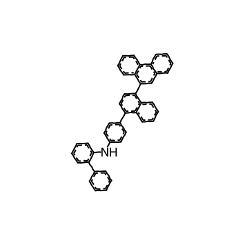 c1ccc(-c2ccccc2Nc2ccc(-c3ccc(-c4cc5ccccc5c5ccccc45)c4ccccc34)cc2)cc1